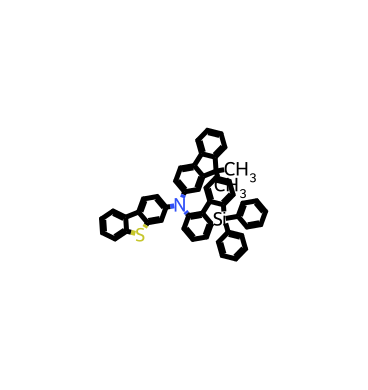 CC1(C)c2ccccc2-c2ccc(N(c3ccc4c(c3)sc3ccccc34)c3cccc4c3-c3ccccc3[Si]4(c3ccccc3)c3ccccc3)cc21